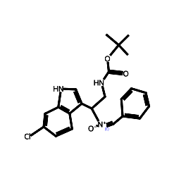 CC(C)(C)OC(=O)NCC(c1c[nH]c2cc(Cl)ccc12)/[N+]([O-])=C\c1ccccc1